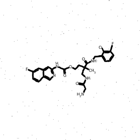 CC(CCOC(=O)Nc1cc2cc(F)ccc2cn1)(CNC(=O)CN)C(=O)NCc1cccc(F)c1Cl